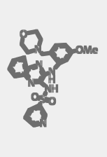 COc1ccc(CN2CCOCC2)c(Nc2nc3ccccc3nc2NS(=O)(=O)c2cccnc2)c1